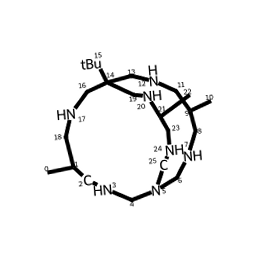 CC1CNCN2CNCC(C)CNCC(C(C)(C)C)(CNC1)CNC(C)CNC2